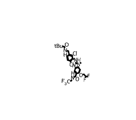 Cn1c(Nc2c(Cl)ccc(CNC(=O)C(C)(C)C)c2Cl)nc2cc(C(=O)NCC(F)(F)F)c(OCC(F)F)cc21